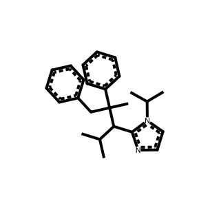 CC(C)C(c1nccn1C(C)C)C(C)(Cc1ccccc1)c1ccccc1